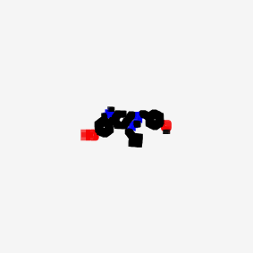 COc1ccc(CN2CN(CC3CCC3)[C@]3(CC[C@@](c4ccc(O)cc4)(N(C)C)CC3)C2)cc1